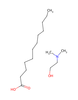 CCCCCCCCCCCC(=O)O.CN(C)CCO